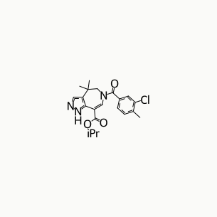 Cc1ccc(C(=O)N2C=C(C(=O)OC(C)C)c3[nH]ncc3C(C)(C)C2)cc1Cl